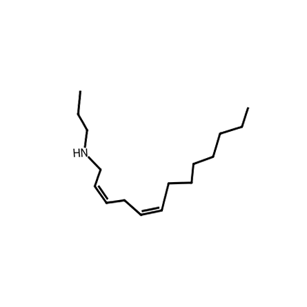 CCCCCCC/C=C\C/C=C\CNCCC